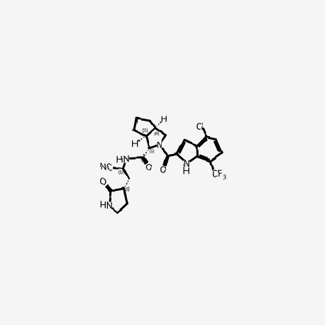 N#C[C@H](C[C@@H]1CCNC1=O)NC(=O)[C@@H]1[C@H]2CCC[C@H]2CN1C(=O)c1cc2c(Cl)ccc(C(F)(F)F)c2[nH]1